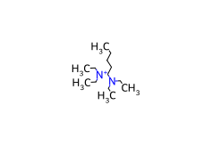 CCCCC(N(CC)CC)=[N+](CC)CC